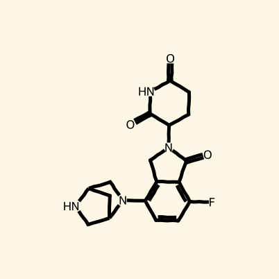 O=C1CCC(N2Cc3c(N4CC5CC4CN5)ccc(F)c3C2=O)C(=O)N1